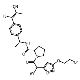 C/C(C#N)=C(/S)c1ccc([C@H](C)NC(=O)[C@@H]2CCCN2C(=O)C(c2cc(OCCBr)no2)C(C)C)cc1